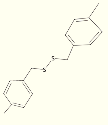 Cc1ccc(CSSCc2ccc(C)cc2)cc1